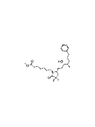 COC(=O)CCCCCCN1C(=O)C(F)(F)C[C@@H]1C=C[C@H](O)[C@H](C)CCCc1ccccc1